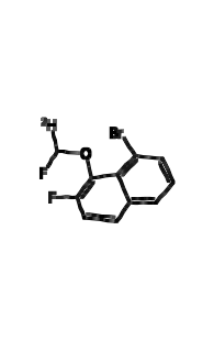 [2H]C(F)Oc1c(F)ccc2cccc(Br)c12